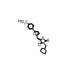 O=C(O)c1ccc(-c2ccc(/C=C3\SC(=S)N(CC4CCCCC4)C3=O)o2)cc1